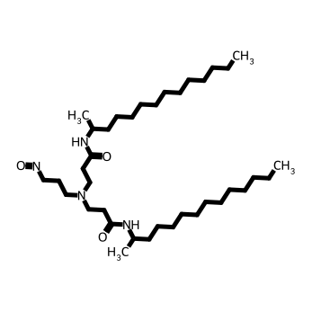 CCCCCCCCCCCCC(C)NC(=O)CCN(CCCN=O)CCC(=O)NC(C)CCCCCCCCCCCC